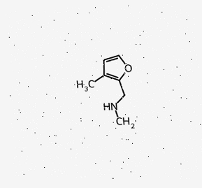 [CH2]NCc1occc1C